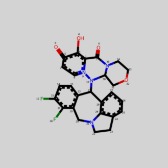 O=C1c2c(O)c(=O)ccn2N(C2c3ccc(F)c(F)c3CN3CCc4cccc2c43)C2COCCN12